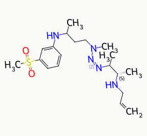 C=CCN[C@@H](C)C(C)/N=N\N(C)CCC(C)Nc1cccc(S(C)(=O)=O)c1